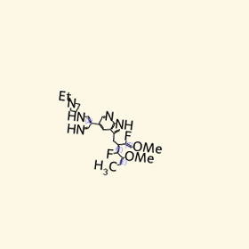 C\C=C(OC)/C(F)=C(Cc1c[nH]c2ncc(/C(C=N)=C/NC3CN(CC)C3)cc12)\C(F)=C\OC